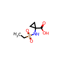 CCS(=O)(=O)NC1(C(=O)O)CC1